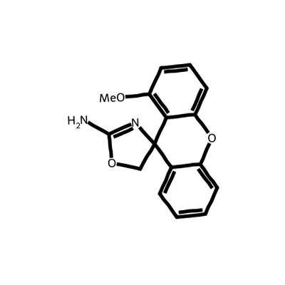 COc1cccc2c1C1(COC(N)=N1)c1ccccc1O2